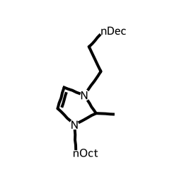 CCCCCCCCCCCCN1C=CN(CCCCCCCC)C1C